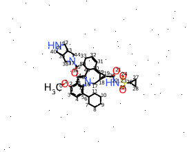 COc1ccc(C2CCCCC2)c2c1cc1n2CC2=C(C(=O)NS(=O)(=O)C3CC3)C2=C2C=CC[C@@H](C(=O)N3CC4CNCC4C3)C21